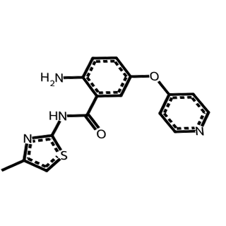 Cc1csc(NC(=O)c2cc(Oc3ccncc3)ccc2N)n1